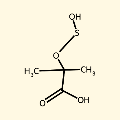 CC(C)(OSO)C(=O)O